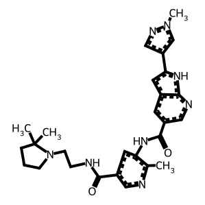 Cc1ncc(C(=O)NCCN2CCCC2(C)C)cc1NC(=O)c1cnc2[nH]c(-c3cnn(C)c3)cc2c1